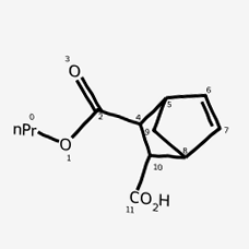 CCCOC(=O)C1C2C=CC(C2)C1C(=O)O